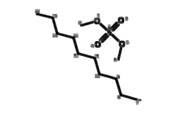 COS(=O)(=O)OC.[CH2]CCCCCCCCC